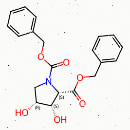 O=C(OCc1ccccc1)[C@@H]1[C@H](O)[C@H](O)CN1C(=O)OCc1ccccc1